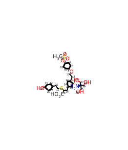 CS(=O)(=O)Oc1ccc(OCCc2ccc(CC(SCCc3ccc(O)cc3)C(=O)O)cc2)cc1.NC(CO)(CO)CO